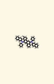 Cc1ccc2c(c1)c(N(c1ccccc1)c1ccc3ccccc3c1)cc1c3ccccc3c(N(c3ccccc3)c3ccc4ccccc4c3)cc21